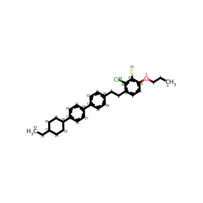 CCCOc1ccc(CCc2ccc(-c3ccc(C4CCC(CC)CC4)cc3)cc2)c(Cl)c1F